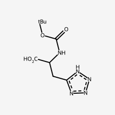 CC(C)(C)OC(=O)NC(Cc1nnn[nH]1)C(=O)O